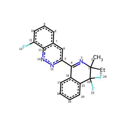 CCC1(C)N=C(c2cc3cccc(F)c3nn2)c2ccccc2C1(F)F